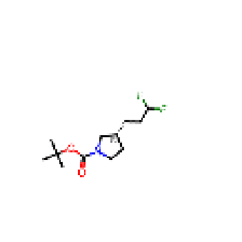 CC(C)(C)OC(=O)N1CC[C@@H](CCC(F)F)C1